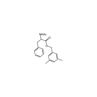 CC(=O)NC(Cc1ccccc1)C(=O)OCc1cc(C)cc(C)c1